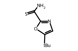 CC(C)(C)c1cnc(C(N)=S)o1